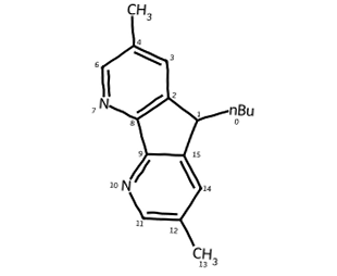 CCCCC1c2cc(C)cnc2-c2ncc(C)cc21